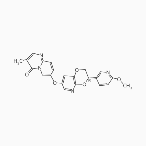 COc1ccc([C@@H]2COc3cc(Oc4ccc5ncc(C)c(=O)n5c4)cnc3O2)cn1